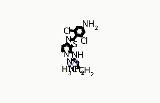 C=C(C)/C=C(\N=C/N)Nc1nccc2nc(-c3c(Cl)cc(N)cc3Cl)sc12